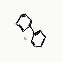 [Zn].c1cncc(-c2cccnc2)c1